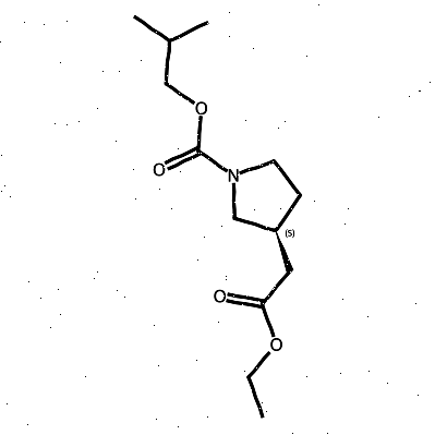 CCOC(=O)C[C@@H]1CCN(C(=O)OCC(C)C)C1